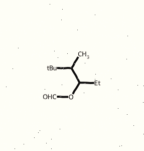 CCC(OC=O)C(C)C(C)(C)C